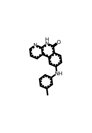 Cc1cccc(Nc2ccc3c(=O)[nH]c4ncccc4c3c2)c1